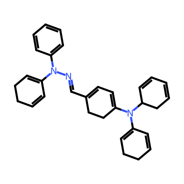 C1=CCC(N(C2=CCCC=C2)C2=CC=C(C=NN(C3=CCCC=C3)c3ccccc3)CC2)C=C1